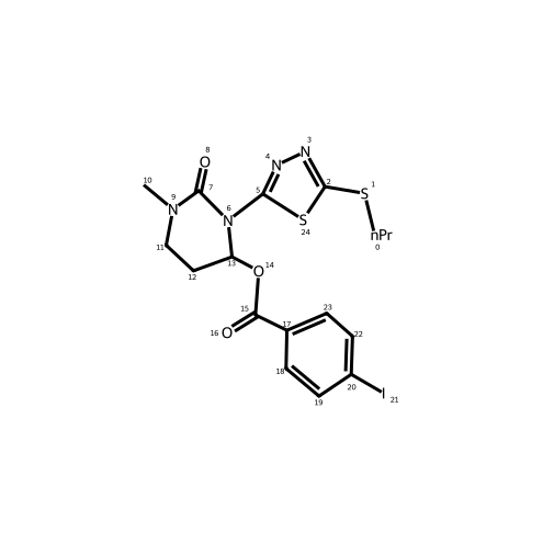 CCCSc1nnc(N2C(=O)N(C)CCC2OC(=O)c2ccc(I)cc2)s1